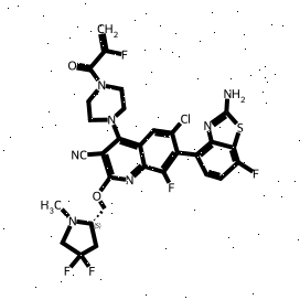 C=C(F)C(=O)N1CCN(c2c(C#N)c(OC[C@@H]3CC(F)(F)CN3C)nc3c(F)c(-c4ccc(F)c5sc(N)nc45)c(Cl)cc23)CC1